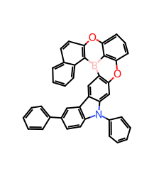 c1ccc(-c2ccc3c(c2)c2cc4c(cc2n3-c2ccccc2)Oc2cccc3c2B4c2c(ccc4ccccc24)O3)cc1